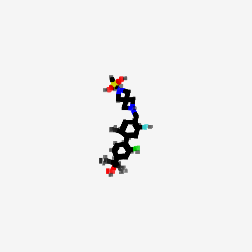 CC(C)c1cc(CN2CC3(C2)CN(S(C)(=O)=O)C3)c(F)cc1-c1ccc(C(O)(C(F)(F)F)C(F)(F)F)cc1Cl